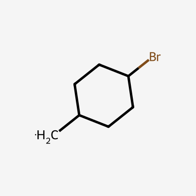 [CH2]C1CCC(Br)CC1